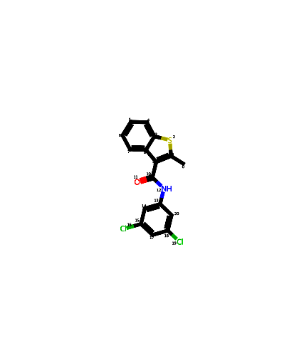 Cc1sc2ccccc2c1C(=O)Nc1cc(Cl)cc(Cl)c1